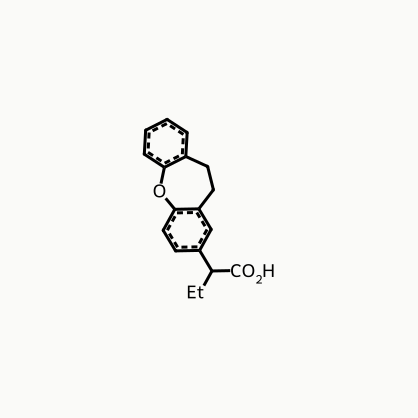 CCC(C(=O)O)c1ccc2c(c1)CCc1ccccc1O2